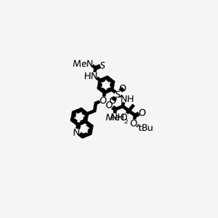 CNC(=S)Nc1ccc(S(=O)(=O)NC(C(N)=O)C(C)(OC)C(=O)OC(C)(C)C)c(OCCc2cccc3ncccc23)c1